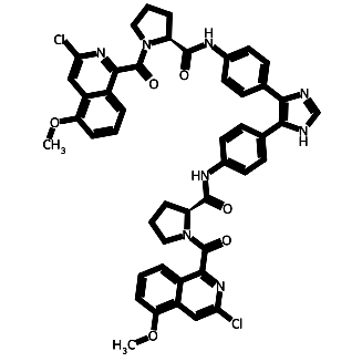 COc1cccc2c(C(=O)N3CCC[C@H]3C(=O)Nc3ccc(-c4nc[nH]c4-c4ccc(NC(=O)[C@@H]5CCCN5C(=O)c5nc(Cl)cc6c(OC)cccc56)cc4)cc3)nc(Cl)cc12